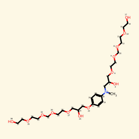 CN(CC(O)COCCOCOCCOCCO)c1ccc(OCC(O)COCCOCOCCOCCO)cc1